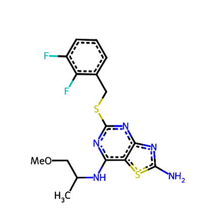 COCC(C)Nc1nc(SCc2cccc(F)c2F)nc2nc(N)sc12